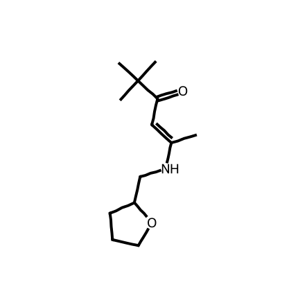 CC(=CC(=O)C(C)(C)C)NCC1CCCO1